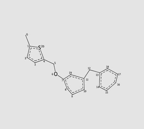 Cc1ccc(COc2cccc(Cc3ccccc3)c2)s1